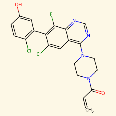 C=CC(=O)N1CCN(c2ncnc3c(F)c(-c4cc(O)ccc4Cl)c(Cl)cc23)CC1